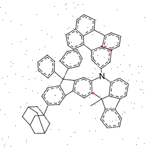 CC1(C)c2ccccc2-c2cccc(N(c3cccc(-c4cccc5cccc(-c6ccccc6)c45)c3)c3ccc4c(c3)C(c3ccccc3)(c3ccccc3)c3ccc(C56CC7CC(CC(C7)C5)C6)cc3-4)c21